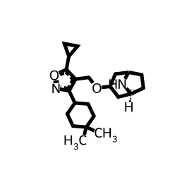 CC1(C)CCC(c2noc(C3CC3)c2COC2CC3CC[C@@H](C2)N3)CC1